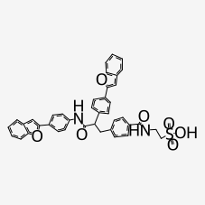 O=C(NCCS(=O)(=O)O)c1ccc(CC(C(=O)Nc2ccc(-c3cc4ccccc4o3)cc2)c2ccc(-c3cc4ccccc4o3)cc2)cc1